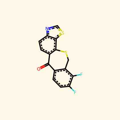 O=C1c2ccc(F)c(F)c2CSc2c1ccc1ncsc21